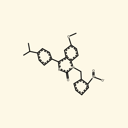 COc1ccc2c(c1)c(-c1ccc(C(C)C)cc1)nc(=O)n2Cc1ccccc1[N+](=O)[O-]